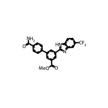 COC(=O)c1cc(-c2ccc(C(N)=O)cc2)cc(-c2nc3cc(C(F)(F)F)ccc3[nH]2)c1